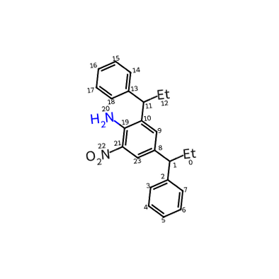 CCC(c1ccccc1)c1cc(C(CC)c2ccccc2)c(N)c([N+](=O)[O-])c1